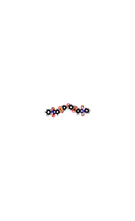 O=C1c2ccc(S(=O)(=O)c3ccc(Oc4ccc(S(=O)(=O)c5ccc6c(c5)C(=O)N(c5ccccc5)C6=O)cc4)cc3)cc2C(=O)N1c1ccccc1